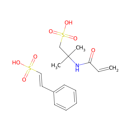 C=CC(=O)NC(C)(C)CS(=O)(=O)O.O=S(=O)(O)C=Cc1ccccc1